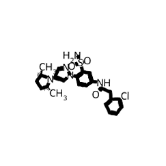 C[C@@H]1CC[C@@H](C)N1c1cnn(-c2ccc(NC(=O)Cc3ccccc3Cl)cc2S(N)(=O)=O)c1